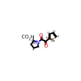 O=C(C(=O)N1CCC[C@H]1C(=O)O)c1cccs1